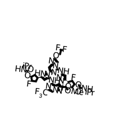 COCc1cc2c(Nc3cc([C@H]4C[C@@H](F)[C@@H](OC(=O)NC(C)C)C4)[nH][n+]3-c3cc4nc(OCC(F)F)cn4c(Nc4cc([C@H]5OC[C@@H](OC(=O)NC(C)C)[C@@H]5F)[nH]n4)n3)nc(C(F)(F)F)cn2n1